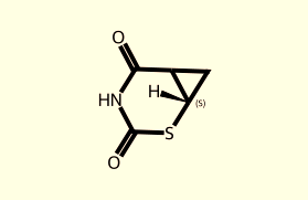 O=C1NC(=O)C2C[C@@H]2S1